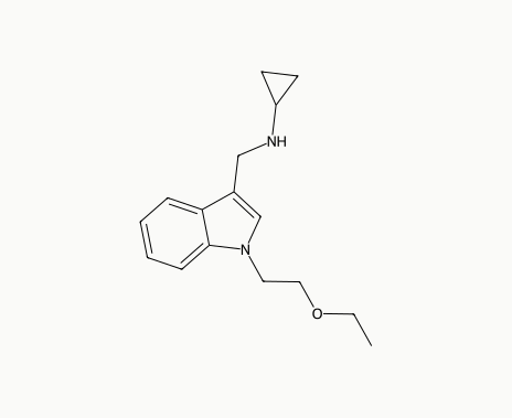 CCOCCn1cc(CNC2CC2)c2ccccc21